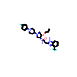 C=CCO[C@H]1CN(C2CCN(c3ccc(F)cc3)CC2)CC1NC(=O)Cc1nc2c(C(F)(F)F)cccc2[nH]1